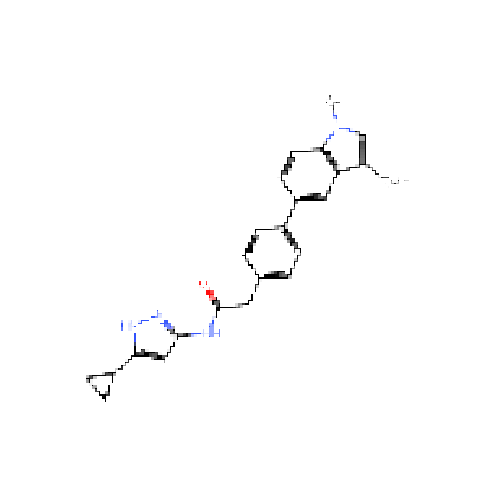 CC(=O)Oc1cn(C(C)=O)c2ccc(-c3ccc(CC(=O)Nc4cc(C5CC5)[nH]n4)cc3)cc12